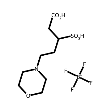 F[B-](F)(F)F.O=C(O)CC(CCN1CCOCC1)S(=O)(=O)O